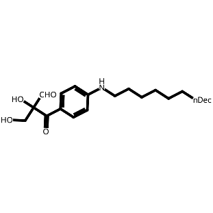 CCCCCCCCCCCCCCCCNc1ccc(C(=O)C(O)(C=O)CO)cc1